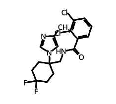 Cc1cn(C2(CNC(=O)c3cccc(Cl)c3Cl)CCC(F)(F)CC2)cn1